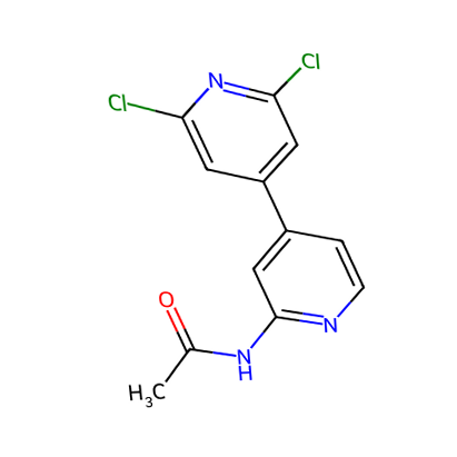 CC(=O)Nc1cc(-c2cc(Cl)nc(Cl)c2)ccn1